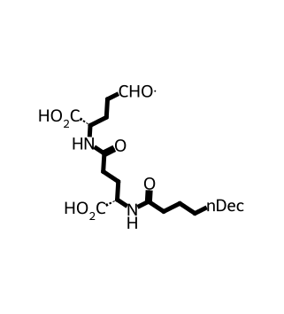 CCCCCCCCCCCCCC(=O)N[C@@H](CCC(=O)N[C@@H](CC[C]=O)C(=O)O)C(=O)O